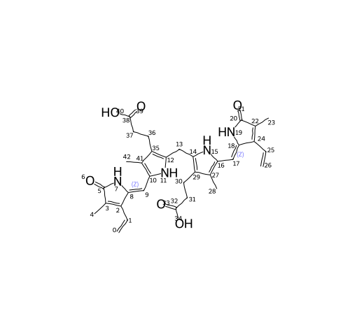 C=CC1=C(C)C(=O)N/C1=C\c1[nH]c(Cc2[nH]c(/C=C3\NC(=O)C(C)=C3C=C)c(C)c2CCC(=O)O)c(CCC(=O)O)c1C